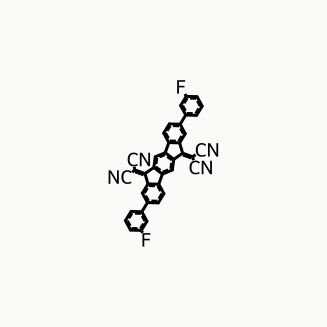 N#CC(C#N)=C1c2cc(-c3cccc(F)c3)ccc2-c2cc3c(cc21)-c1ccc(-c2cccc(F)c2)cc1C3=C(C#N)C#N